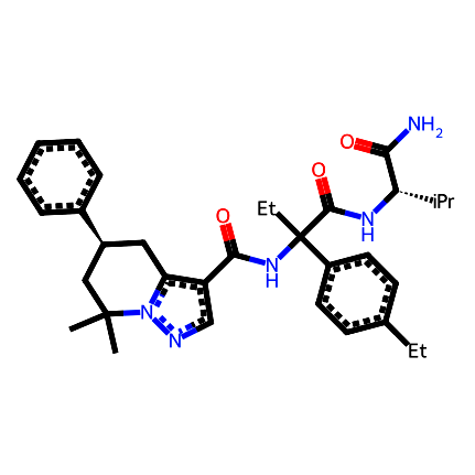 CCc1ccc(C(CC)(NC(=O)c2cnn3c2C[C@H](c2ccccc2)CC3(C)C)C(=O)N[C@H](C(N)=O)C(C)C)cc1